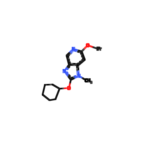 CC(C)Oc1cc2c(cn1)nc(OC1CCCCC1)n2C